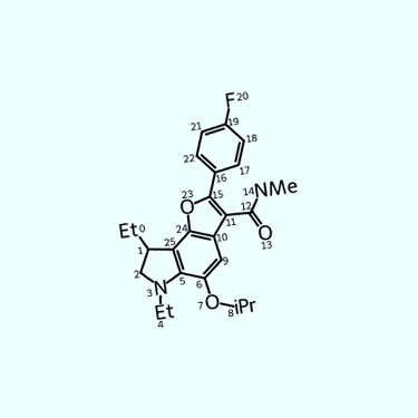 CCC1CN(CC)c2c(OC(C)C)cc3c(C(=O)NC)c(-c4ccc(F)cc4)oc3c21